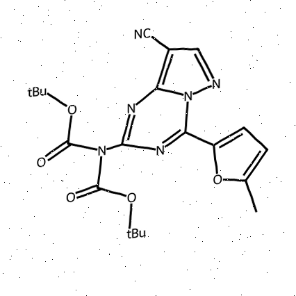 Cc1ccc(-c2nc(N(C(=O)OC(C)(C)C)C(=O)OC(C)(C)C)nc3c(C#N)cnn23)o1